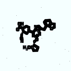 CN1CCC[C@H]1COc1nc(N2CCN(C(=O)O)[C@@H](CC#N)C2)c2ncc(Cc3cccc4c3OCC4)n2n1